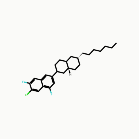 CCCCCCC[C@@H]1CC[C@@H]2CC(c3cc(F)c4cc(Cl)c(F)cc4c3)CCC2C1